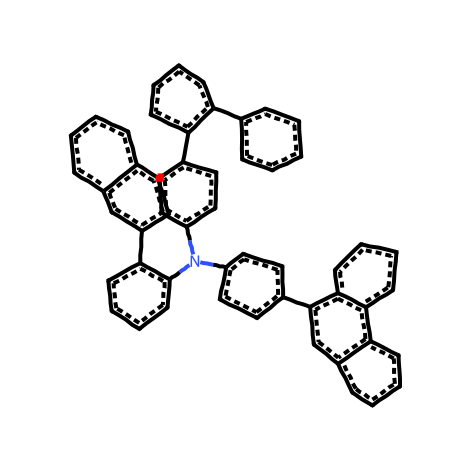 c1ccc(-c2ccccc2-c2ccc(N(c3ccc(-c4cc5ccccc5c5ccccc45)cc3)c3ccccc3-c3ccc4ccccc4c3)cc2)cc1